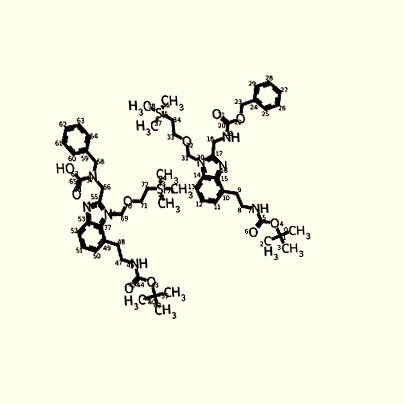 CC(C)(C)OC(=O)NCCc1cccc2c1nc(CNC(=O)OCc1ccccc1)n2COCC[Si](C)(C)C.CC(C)(C)OC(=O)NCCc1cccc2nc(CN(Cc3ccccc3)C(=O)O)n(COCC[Si](C)(C)C)c12